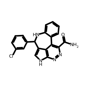 NC(=O)c1nnc2[nH]cc3c2c1-c1ccccc1NC3c1cccc(Cl)c1